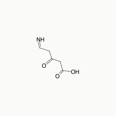 N=CCC(=O)CC(=O)O